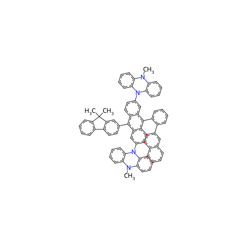 CN1c2ccccc2N(c2ccc3c(-c4ccccc4-c4ccc5ccccc5c4)c4cc(N5c6ccccc6N(C)c6ccccc65)ccc4c(-c4ccc5c(c4)C(C)(C)c4ccccc4-5)c3c2)c2ccccc21